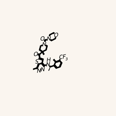 Cc1c([C@@H](C)Nc2nnc(C)c3sc(C(=O)C4(C)CCN(C(=O)N5CCOCC5)CC4)cc23)cccc1C(F)(F)F